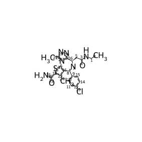 CCNC(=O)C[C@H]1N=C(c2ccc(Cl)cc2)c2c(sc(C(N)=O)c2C)-n2c(C)nnc21